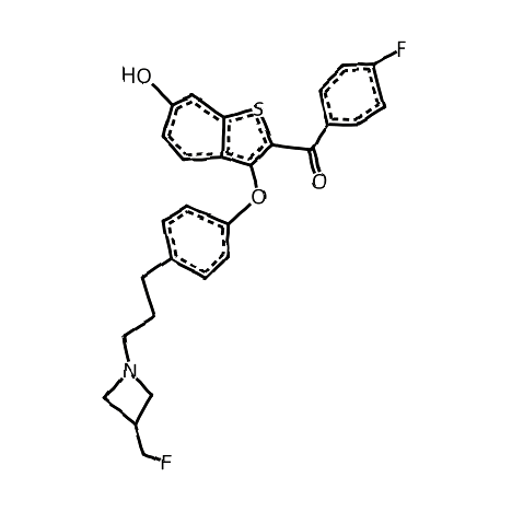 O=C(c1ccc(F)cc1)c1sc2cc(O)ccc2c1Oc1ccc(CCCN2CC(CF)C2)cc1